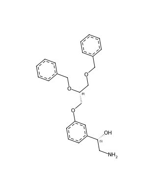 NC[C@@H](O)c1cccc(OC[C@@H](COCc2ccccc2)OCc2ccccc2)c1